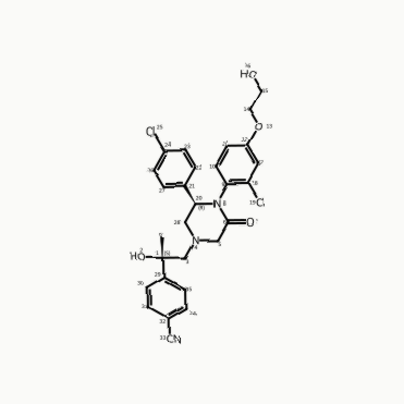 C[C@@](O)(CN1CC(=O)N(c2ccc(OCCO)cc2Cl)[C@H](c2ccc(Cl)cc2)C1)c1ccc(C#N)cc1